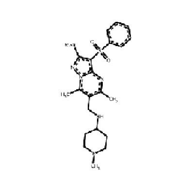 CNc1nn2c(C)c(CNC3CCN(C)CC3)c(C)nc2c1S(=O)(=O)c1ccccc1